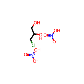 O=[N+]([O-])O.O=[N+]([O-])O.OCC(O)CCl